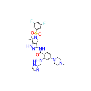 CN1CCN(c2ccc(C(=O)Nc3n[nH]c4c3CN(S(=O)(=O)c3cc(F)cc(F)c3)C4(C)C)c(NCc3ncc[nH]3)c2)CC1